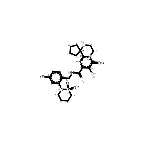 O=C(NCc1ccc(F)cc1N1CCCCS1(=O)=O)c1nc2n(c(=O)c1O)CCOC21CCCC1